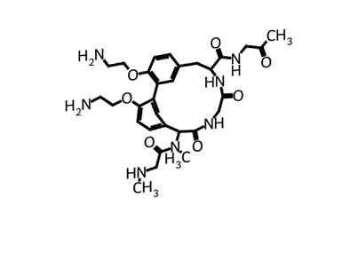 CNCC(=O)N(C)C1C(=O)NCC(=O)NC(C(=O)NCC(C)=O)Cc2ccc(OCCN)c(c2)-c2cc1ccc2OCCN